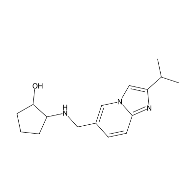 CC(C)c1cn2cc(CNC3CCCC3O)ccc2n1